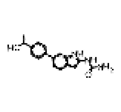 CC(O)c1ccc(-c2ccc3cc(NC(N)=O)[nH]c3c2)cc1